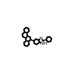 c1ccc(-c2nc3cc(-c4cc5c6ccccc6ccc5c5ccccc45)ccc3[nH]2)cc1